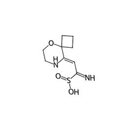 N=C(/C=C1\NCCOC12CCC2)S(=O)O